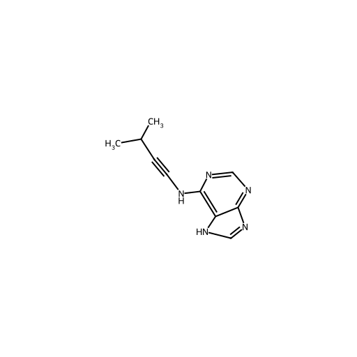 CC(C)C#CNc1ncnc2nc[nH]c12